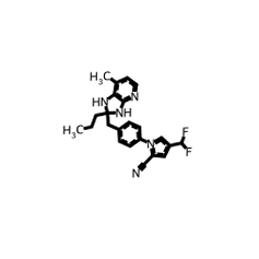 CCCC1(Cc2ccc(-n3cc(C(F)F)cc3C#N)cc2)Nc2nccc(C)c2N1